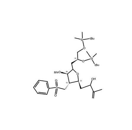 C=C(C)C(O)C[C@@H]1OC(C[C@@H](CO[Si](C)(C)C(C)(C)C)O[Si](C)(C)C(C)(C)C)[C@H](OC)[C@H]1CS(=O)(=O)c1ccccc1